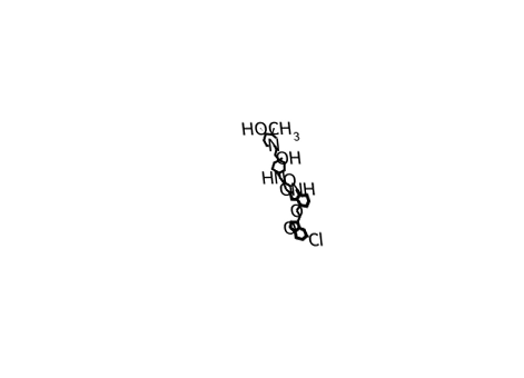 C[C@H]1CN(CCC2(O)CCC(NC(=O)Oc3cc4c(OCc5coc6ccc(Cl)cc56)cccc4[nH]3)CC2)CC[C@@H]1O